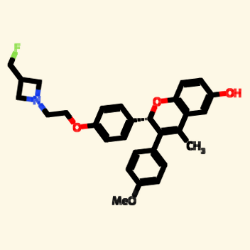 COc1ccc(C2=C(C)c3cc(O)ccc3O[C@H]2c2ccc(OCCN3CC(CF)C3)cc2)cc1